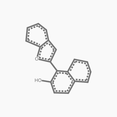 Oc1ccc2ccccc2c1-c1cc2ccccc2o1